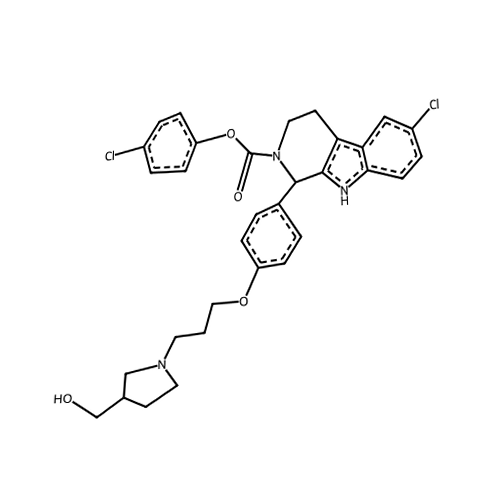 O=C(Oc1ccc(Cl)cc1)N1CCc2c([nH]c3ccc(Cl)cc23)C1c1ccc(OCCCN2CCC(CO)C2)cc1